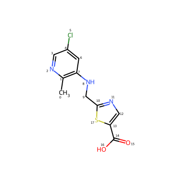 Cc1ncc(Cl)cc1NCc1ncc(C(=O)O)s1